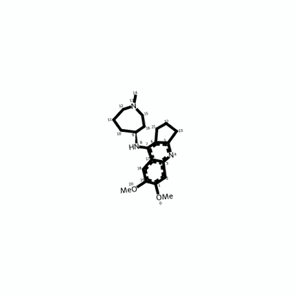 COc1cc2nc3c(c(N[C@H]4CCCN(C)CC4)c2cc1OC)CCC3